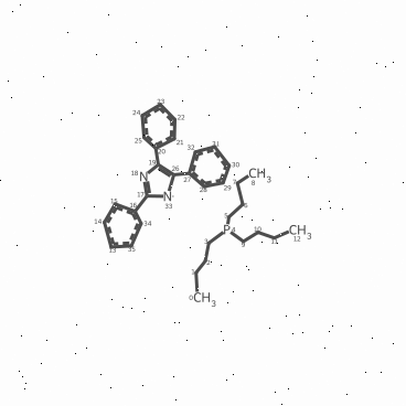 CCCCP(CCCC)CCCC.c1ccc(C2=NC(c3ccccc3)=C(c3ccccc3)[N]2)cc1